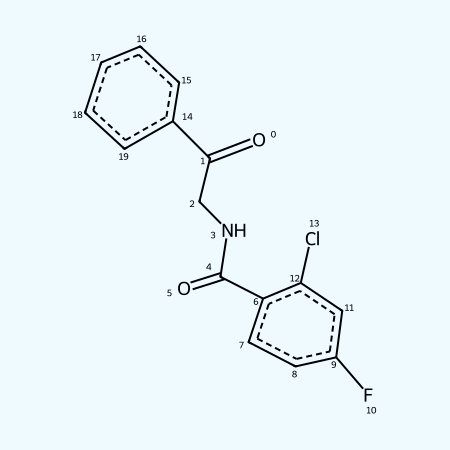 O=C(CNC(=O)c1ccc(F)cc1Cl)c1ccccc1